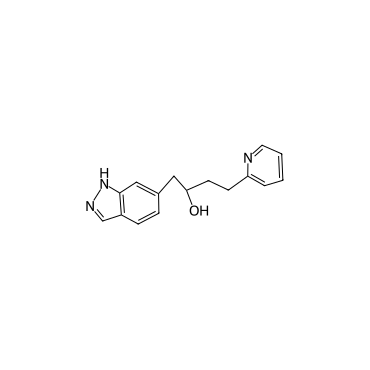 OC(CCc1ccccn1)Cc1ccc2cn[nH]c2c1